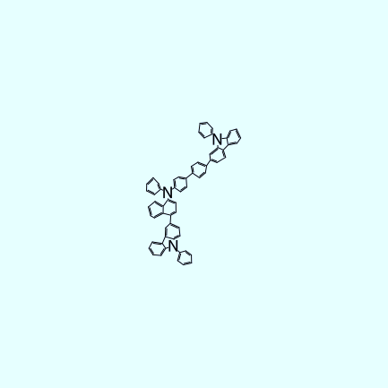 c1ccc(N(c2ccc(-c3ccc(-c4ccc5c6ccccc6n(-c6ccccc6)c5c4)cc3)cc2)c2ccc(-c3ccc4c(c3)c3ccccc3n4-c3ccccc3)c3ccccc23)cc1